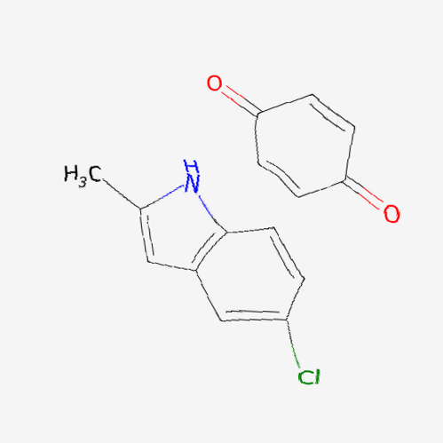 Cc1cc2cc(Cl)ccc2[nH]1.O=C1C=CC(=O)C=C1